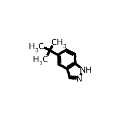 CC(C)(C)c1ccc2[nH]ncc2c1